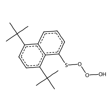 CC(C)(C)c1ccc(C(C)(C)C)c2c(SOOO)cccc12